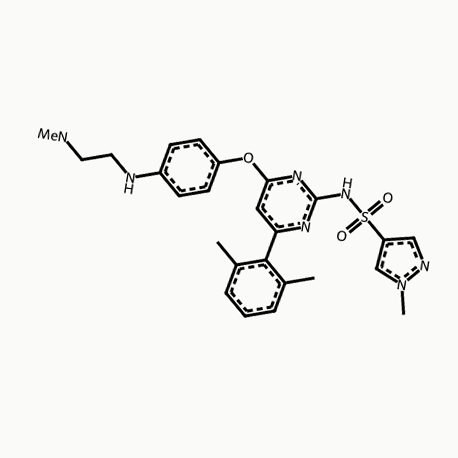 CNCCNc1ccc(Oc2cc(-c3c(C)cccc3C)nc(NS(=O)(=O)c3cnn(C)c3)n2)cc1